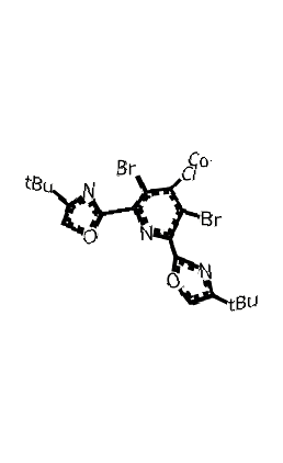 CC(C)(C)c1coc(-c2nc(-c3nc(C(C)(C)C)co3)c(Br)c(Cl)c2Br)n1.[Co]